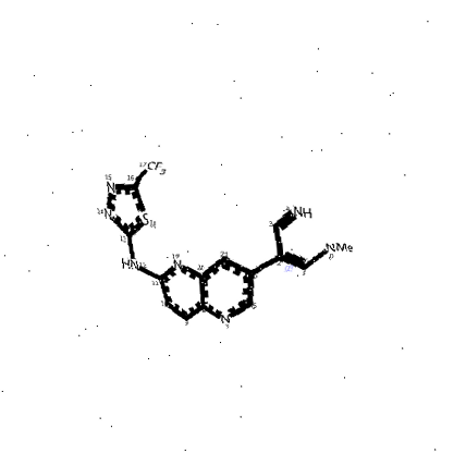 CN/C=C(\C=N)c1cnc2ccc(Nc3nnc(C(F)(F)F)s3)nc2c1